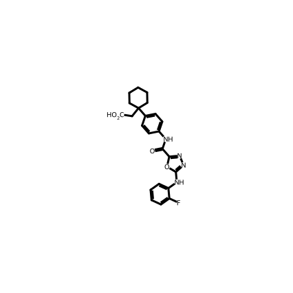 O=C(O)CC1(c2ccc(NC(=O)c3nnc(Nc4ccccc4F)o3)cc2)CCCCC1